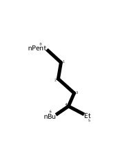 CCCCCCCCC(CC)CCCC